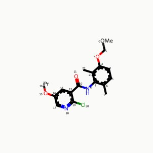 COCOc1ccc(C)c(NC(=O)c2cc(OC(C)C)cnc2Cl)c1C